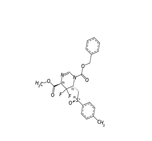 COC(=O)[C@H]1N=CN(C(=O)OCc2ccccc2)[C@H](C[S@+]([O-])c2ccc(C)cc2)C1(F)F